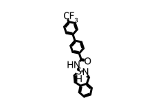 O=C(N[SH]1C=Cc2ccccc2C=N1)c1ccc(-c2ccc(C(F)(F)F)cc2)cc1